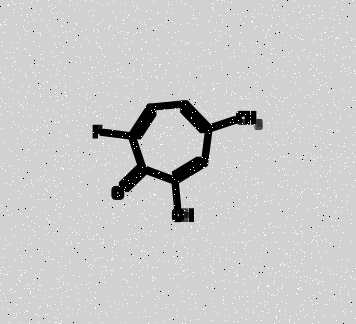 Cc1ccc(F)c(=O)c(O)c1